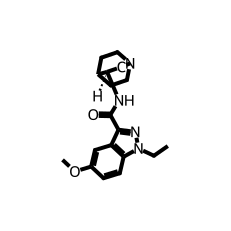 CCn1nc(C(=O)N[C@@H]2CN3CCC2CC3)c2cc(OC)ccc21